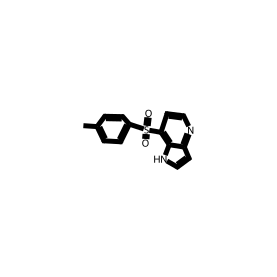 Cc1ccc(S(=O)(=O)c2ccnc3cc[nH]c23)cc1